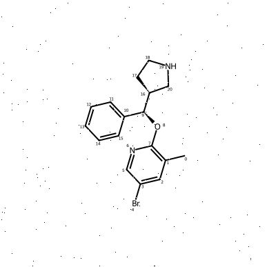 Cc1cc(Br)cnc1O[C@@H](c1ccccc1)[C@H]1CCNC1